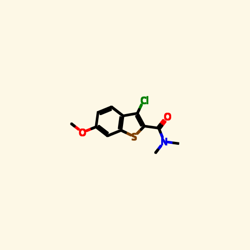 COc1ccc2c(Cl)c(C(=O)N(C)C)sc2c1